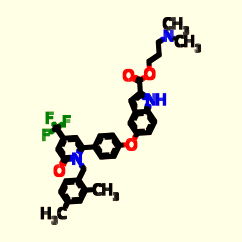 Cc1ccc(Cn2c(-c3ccc(Oc4ccc5[nH]c(C(=O)OCCCN(C)C)cc5c4)cc3)cc(C(F)(F)F)cc2=O)c(C)c1